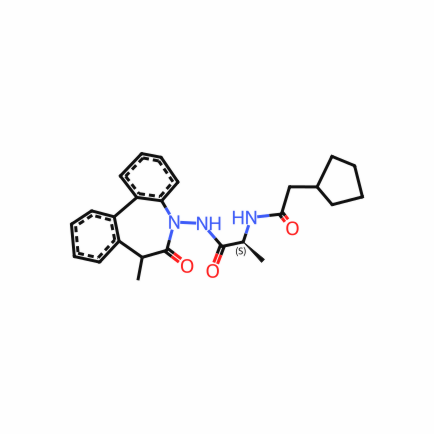 CC1C(=O)N(NC(=O)[C@H](C)NC(=O)CC2CCCC2)c2ccccc2-c2ccccc21